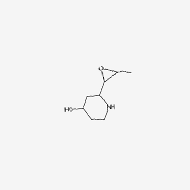 CC1OC1C1CC(O)CCN1